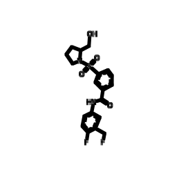 O=C(Nc1ccc(F)c(CF)c1)c1cccc(S(=O)(=O)N2CCCC2CO)c1